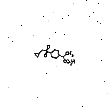 CC(C(=O)O)c1ccc(S(=O)(=O)CC2CC2)cc1